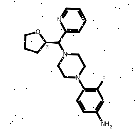 Nc1ccc(N2CCN(C(c3ccccn3)[C@H]3CCCO3)CC2)c(F)c1